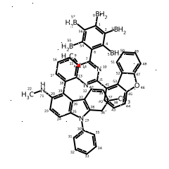 Bc1c(B)c(B)c(/C(N=C)=N/C(=N\c2ccccc2-c2c(NC)ccc3c2c2c(n3-c3ccccc3)CC(C)C=C2)c2cccc3oc4ccccc4c23)c(B)c1B